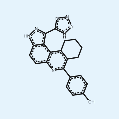 Oc1ccc(-c2nc3ccc4[nH]nc(-c5nnn[nH]5)c4c3c3c2CCCC3)cc1